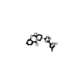 Cc1c[nH]c(-c2nc([C@H]3CC[C@H]4CSc5ccccc5C(=O)N4C3)no2)c1